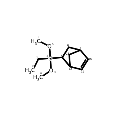 CC[Si](OC)(OC)C1CC2C=CC1C2